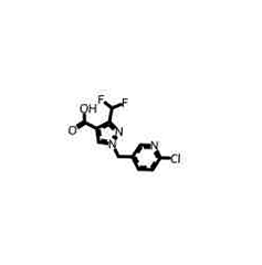 O=C(O)c1cn(Cc2ccc(Cl)nc2)nc1C(F)F